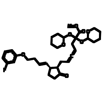 COC(=O)C(CC=C=CC[C@H]1C(=O)CC[C@@H]1/C=C/CCOc1cccc(F)c1)(OC1CCCCO1)OC1CCCCO1